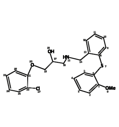 COc1ccccc1Sc1ccccc1CNCC(O)COc1ccccc1Cl